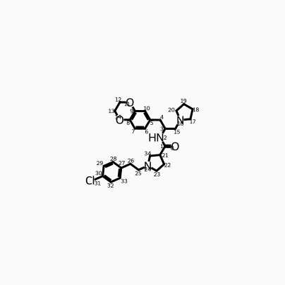 O=C(NC(Cc1ccc2c(c1)OCCO2)CN1CCCC1)C1CCN(CCc2ccc(Cl)cc2)C1